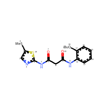 CSc1cnc(NC(=O)CC(=O)Nc2ccccc2OCC(C)C)s1